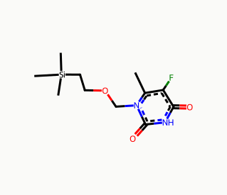 Cc1c(F)c(=O)[nH]c(=O)n1COCC[Si](C)(C)C